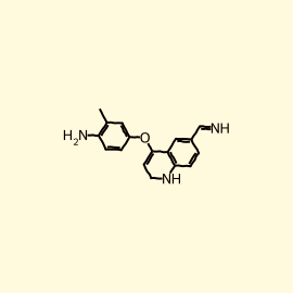 Cc1cc(OC2=CCNc3ccc(C=N)cc32)ccc1N